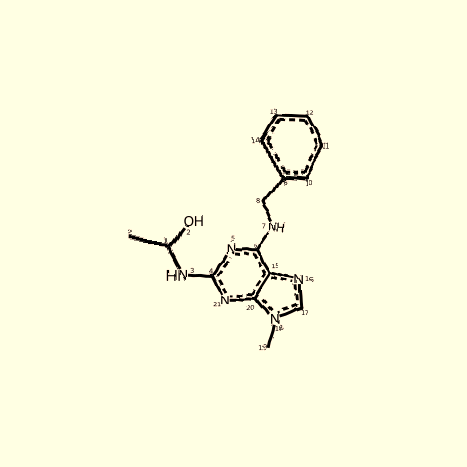 CC(O)Nc1nc(NCc2ccccc2)c2ncn(C)c2n1